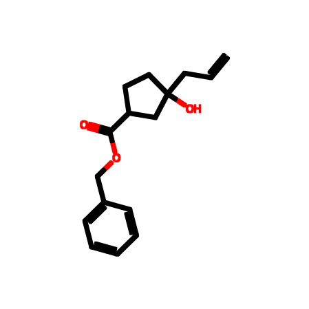 C=CCC1(O)CCC(C(=O)OCc2ccccc2)C1